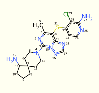 Cc1nc(N2CCC3(CCCC3N)CC2)n2ncnc2c1Sc1ccnc(N)c1Cl